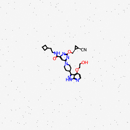 N#C[C@@H]1C[C@@H]1COc1nc(C(=O)NCCC2CCC2)cc(N2CCC(c3n[nH]c4nccc(OCCO)c34)CC2)n1